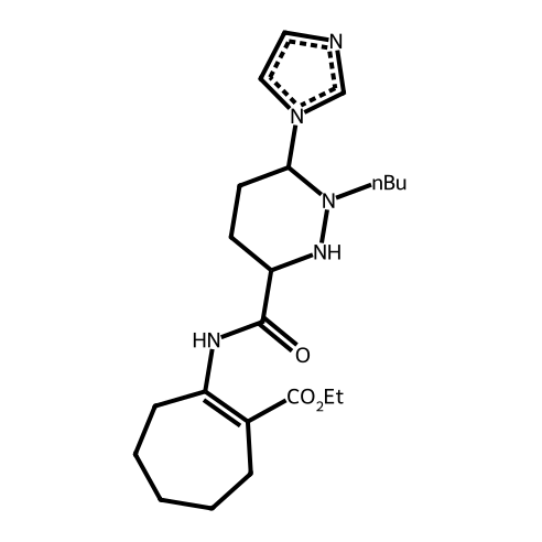 CCCCN1NC(C(=O)NC2=C(C(=O)OCC)CCCCC2)CCC1n1ccnc1